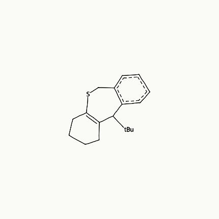 CC(C)(C)C1C2=C(CCCC2)SCc2ccccc21